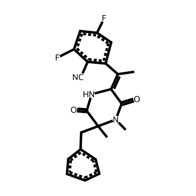 CC(=C1NC(=O)C(C)(Cc2ccccc2)N(C)C1=O)c1cc(F)cc(F)c1C#N